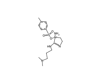 Cc1ccc(S(=O)(=O)O[N+]2(N)CCN=C2NCCCN(C)C)cc1